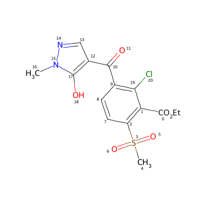 CCOC(=O)c1c(S(C)(=O)=O)ccc(C(=O)c2cnn(C)c2O)c1Cl